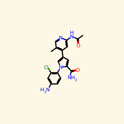 CC(=O)Nc1cc(-c2cc(C(N)=O)n(-c3ccc(N)cc3Cl)c2)c(C)cn1